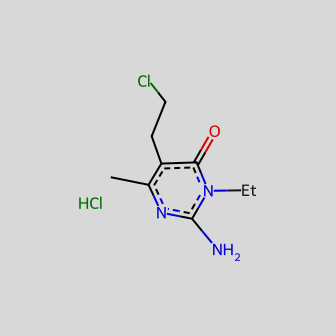 CCn1c(N)nc(C)c(CCCl)c1=O.Cl